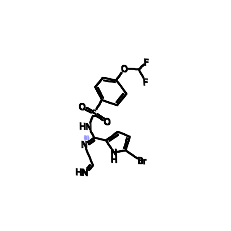 N=C/N=C(/NS(=O)(=O)c1ccc(OC(F)F)cc1)c1ccc(Br)[nH]1